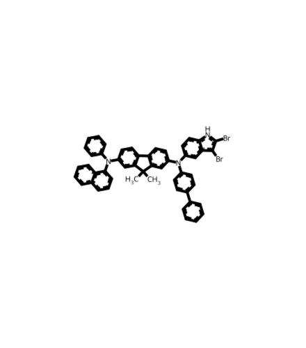 CC1(C)c2cc(N(c3ccc(-c4ccccc4)cc3)c3ccc4[nH]c(Br)c(Br)c4c3)ccc2-c2ccc(N(c3ccccc3)c3cccc4ccccc34)cc21